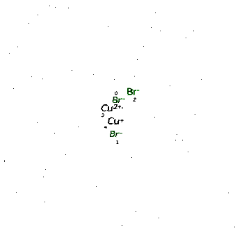 [Br-].[Br-].[Br-].[Cu+2].[Cu+]